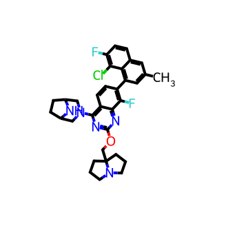 Cc1cc(-c2ccc3c(N4CC5CCC(C4)N5)nc(OCC45CCCN4CCC5)nc3c2F)c2c(Cl)c(F)ccc2c1